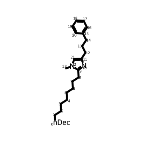 CCCCCCCCCCCCCCCCCCc1nc(CCCc2ccccc2)cn1C